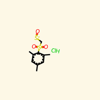 Cc1cc(C)c(S(=O)(=O)C[S+]=O)c(C)c1.Cl